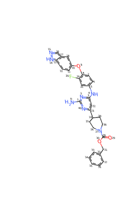 Nc1nc(Nc2ccc(Oc3ccc4[nH]ncc4c3)c(F)c2)cc(C2CCN(C(=O)OCc3ccccc3)CC2)n1